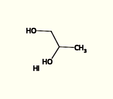 CC(O)CO.I